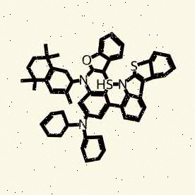 CC1=CC2=C(CC1N1c3cc(N(C4=CCCC=C4)C4CC=CCC4)cc4c3[SH](C3c5ccccc5OC31)n1c3sc5ccccc5c3c3cccc-4c31)C(C)(C)CCC2(C)C